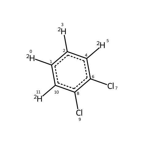 [2H]c1c([2H])c([2H])c(Cl)c(Cl)c1[2H]